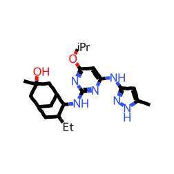 CCC1CC2CC(CC(C)(O)C2)C1Nc1nc(Nc2cc(C)[nH]n2)cc(OC(C)C)n1